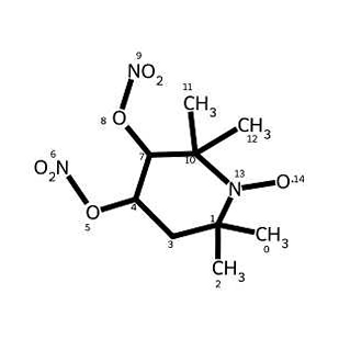 CC1(C)CC(O[N+](=O)[O-])C(O[N+](=O)[O-])C(C)(C)N1[O]